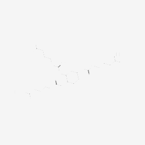 CC(C)CCCOC(=O)OC1CCC(OC(=O)OCCCC(C)C)C(OC(=O)OCCCC(C)C)C1